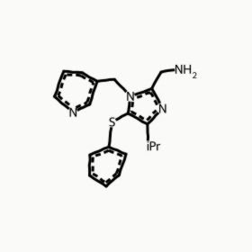 CC(C)c1nc(CN)n(Cc2cccnc2)c1Sc1ccccc1